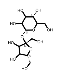 OCC1O[C@H](O[C@]2(CO)O[C@H](CO)C(O)C2O)C(O)C(O)[C@@H]1O